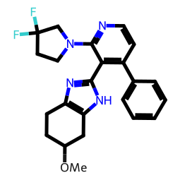 COC1CCc2nc(-c3c(-c4ccccc4)ccnc3N3CCC(F)(F)C3)[nH]c2C1